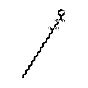 CCC=CCC=CCC=CCC=CCC=CCC=CCCC(=O)NCCNC(=O)c1cccnc1